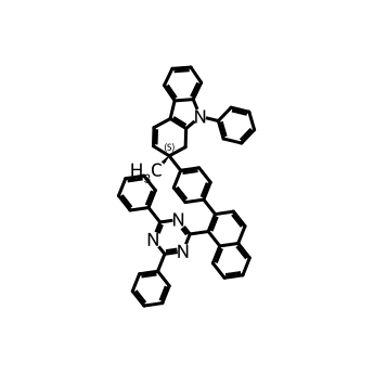 C[C@@]1(c2ccc(-c3ccc4ccccc4c3-c3nc(-c4ccccc4)nc(-c4ccccc4)n3)cc2)C=Cc2c(n(-c3ccccc3)c3ccccc23)C1